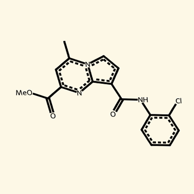 COC(=O)c1cc(C)n2ccc(C(=O)Nc3ccccc3Cl)c2n1